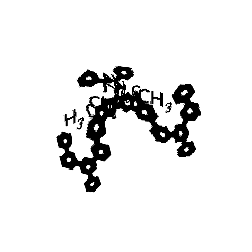 CC1(C)c2ccc(-c3cccc(-c4cc(-c5ccccc5)cc(-c5cccc(-c6ccccc6)c5)c4)c3)cc2-c2cc3c4c(n(-c5nc(-c6ccccc6)nc(-c6ccccc6)n5)c3cc21)=CC1C(C=4)c2cc(-c3cccc(-c4cc(-c5ccccc5)cc(-c5cccc(-c6ccccc6)c5)c4)c3)ccc2C1(C)C